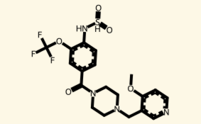 COc1ccncc1CN1CCN(C(=O)c2ccc(N[SH](=O)=O)c(OC(F)(F)F)c2)CC1